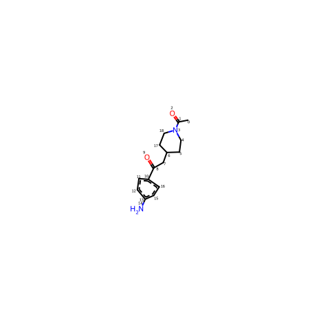 CC(=O)N1CCC(CC(=O)c2ccc(N)cc2)CC1